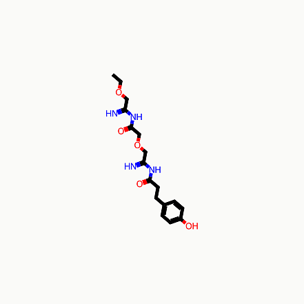 CCOCC(=N)NC(=O)COCC(=N)NC(=O)CCc1ccc(O)cc1